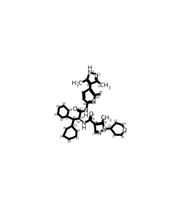 Cc1n[nH]c(C)c1-c1ccc(NC(=O)[C@@H](NC(=O)c2cnn(C3CCOCC3)c2C)C(C2CCCCC2)C2CCCCC2)nc1F